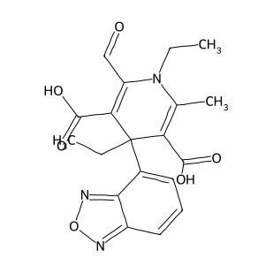 CCN1C(C)=C(C(=O)O)C(CC)(c2cccc3nonc23)C(C(=O)O)=C1C=O